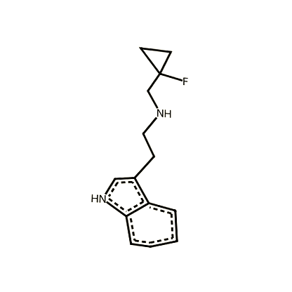 FC1(CNCCc2c[nH]c3ccccc23)CC1